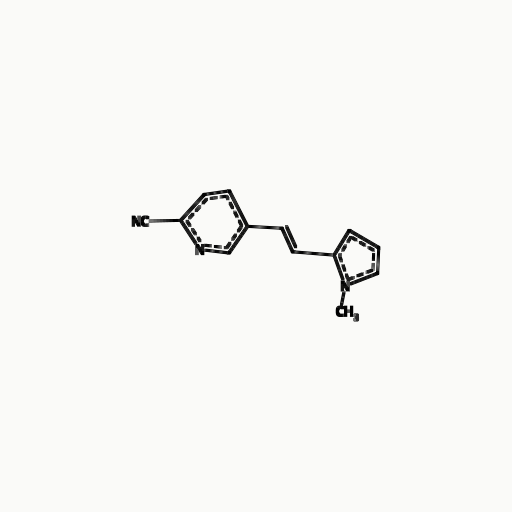 Cn1cccc1/C=C/c1ccc(C#N)nc1